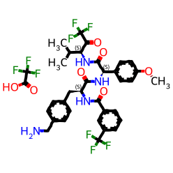 COc1ccc([C@H](NC(=O)[C@H](Cc2ccc(CN)cc2)NC(=O)c2cccc(C(F)(F)F)c2)C(=O)N[C@H](C(=O)C(F)(F)F)C(C)C)cc1.O=C(O)C(F)(F)F